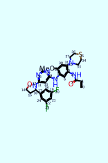 C=CC(=O)Nc1cc(Nc2cc(N3OCCC3c3cc(F)cc(F)c3)ncn2)c(OC)cc1N1CCSCC1